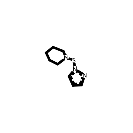 c1cnn(SN2CCCCC2)c1